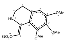 CCOC(=O)C=C1NCCc2cc(OC)c(OC)c(OC)c21